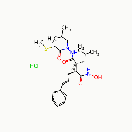 CSCC(=O)N(CC(C)C)NC(=O)[C@H](CC(C)C)[C@H](CC=Cc1ccccc1)C(=O)NO.Cl